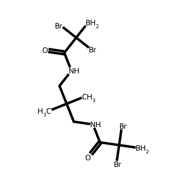 BC(Br)(Br)C(=O)NCC(C)(C)CNC(=O)C(B)(Br)Br